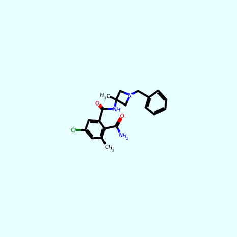 Cc1cc(Cl)cc(C(=O)NC2(C)CN(Cc3ccccc3)C2)c1C(N)=O